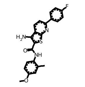 COc1ccc(NC(=O)c2sc3nc(-c4ccc(F)cc4)ccc3c2N)c(C)c1